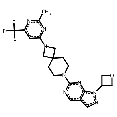 Cc1nc(N2CC3(CCN(c4ncc5cnn(C6COC6)c5n4)CC3)C2)cc(C(F)(F)F)n1